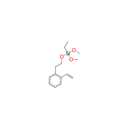 C=Cc1ccccc1CCO[Si](CC)(OC)OC